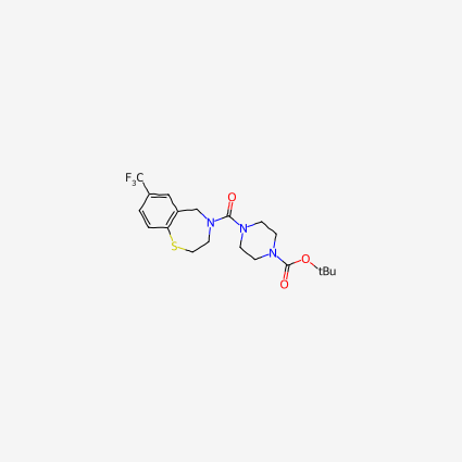 CC(C)(C)OC(=O)N1CCN(C(=O)N2CCSc3ccc(C(F)(F)F)cc3C2)CC1